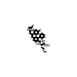 CSCC[C@H](NC(=O)c1ccc(C=C(Cc2ncc(C)[nH]2)c2ccc(F)cc2)cc1-c1ccccc1)C(=O)O